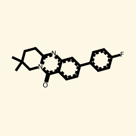 CC1(C)CCc2nc3cc(-c4ccc(F)cc4)ccc3c(=O)n2C1